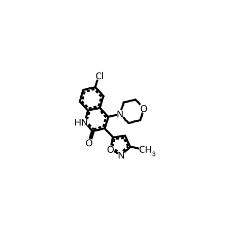 Cc1cc(-c2c(N3CCOCC3)c3cc(Cl)ccc3[nH]c2=O)on1